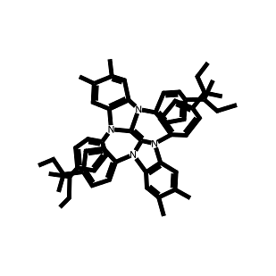 CCC(C)c1ccc(N2C(=C3N(c4ccc(C(C)CC)cc4)c4cc(C)c(C)cc4N3c3ccc(C(C)CC)cc3)N(c3ccc(C(C)CC)cc3)c3cc(C)c(C)cc32)cc1